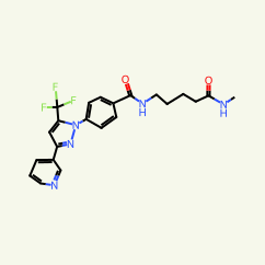 CNC(=O)CCCCNC(=O)c1ccc(-n2nc(-c3cccnc3)cc2C(F)(F)F)cc1